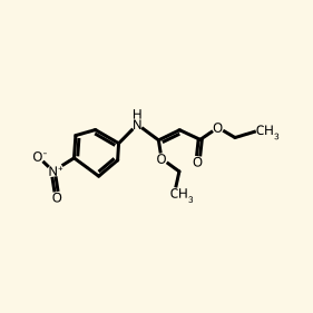 CCOC(=O)C=C(Nc1ccc([N+](=O)[O-])cc1)OCC